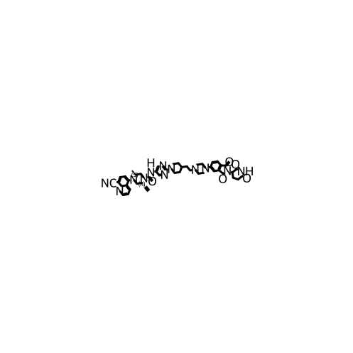 C#C[C@@H]1CN(c2ccc(C#N)c3ncccc23)[C@@H](C)CN1C(=O)Nc1cnc(N2CCC(CCN3CCN(c4ccc5c(c4)C(=O)N(C4CCC(=O)NC4=O)C5=O)CC3)CC2)nc1